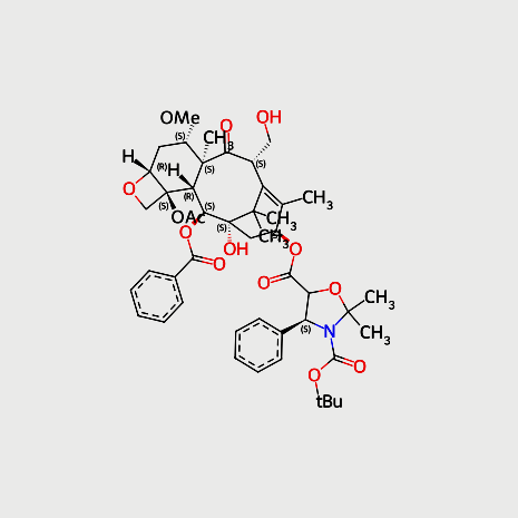 CO[C@H]1C[C@H]2OC[C@@]2(OC(C)=O)[C@H]2[C@H](OC(=O)c3ccccc3)[C@]3(O)C[C@H](OC(=O)C4OC(C)(C)N(C(=O)OC(C)(C)C)[C@H]4c4ccccc4)C(C)=C([C@@H](CO)C(=O)[C@]12C)C3(C)C